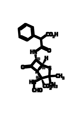 CC1(C)S[C@@H]2[C@@H](NC(=O)C(C(=O)O)c3ccccc3)C(=O)N2[C@@]1(NC=O)C(=O)O